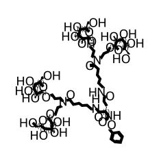 O=C(CC[C@H](NC(=O)OCc1ccccc1)C(=O)NCCCCCC(=O)N(CCCO[C@H]1O[C@H](CO)[C@@H](O)[C@H](O)[C@@H]1O)CCCO[C@H]1O[C@H](CO)[C@@H](O)[C@H](O)[C@@H]1O)NCCCCCC(=O)N(CCCO[C@H]1O[C@H](CO)[C@@H](O)[C@H](O)[C@@H]1O)CCCO[C@H]1O[C@H](CO)[C@@H](O)[C@H](O)[C@@H]1O